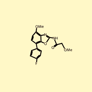 COCC(=O)Nc1nc2c(OC)ccc(-c3ccc(F)cc3)c2o1